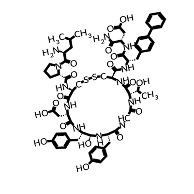 CC(C)C[C@H](N)C(=O)N1CCC[C@H]1C(=O)N[C@H]1CSSC[C@@H](C(=O)N[C@@H](Cc2ccc(-c3ccccc3)cc2)C(=O)N[C@@H](CC(=O)O)C(N)=O)NC(=O)[C@H](C(C)O)NC(=O)CNC(=O)[C@H](Cc2ccc(O)cc2)N[C@H](O)[C@H](Cc2ccc(O)cc2)NC(=O)[C@H](CC(=O)O)NC1=O